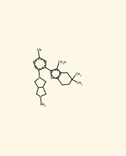 CC1(C)CCc2sc(-c3cc(C#N)ccc3N3CC4CN(N)CC4C3)c(C(=O)O)c2C1